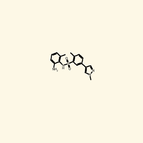 Cc1ccc(-c2cnn(C)c2)cc1S(=O)(=O)Nc1c(C)cccc1N